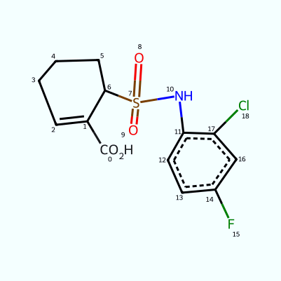 O=C(O)C1=CCCCC1S(=O)(=O)Nc1ccc(F)cc1Cl